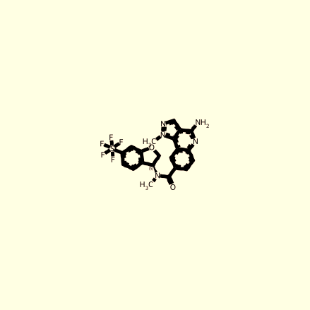 CN(C(=O)c1ccc2nc(N)c3cnn(C)c3c2c1)[C@@H]1COc2cc(S(F)(F)(F)(F)F)ccc21